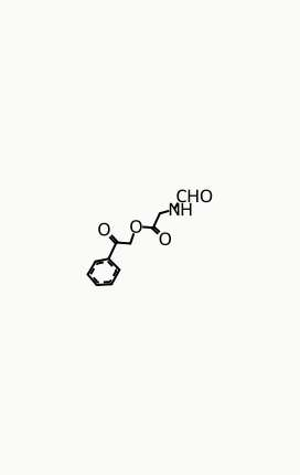 O=CNCC(=O)OCC(=O)c1ccccc1